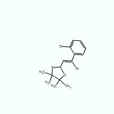 CC/C(=C\B1OC(C)(C)C(C)(C)O1)c1ccccc1Cl